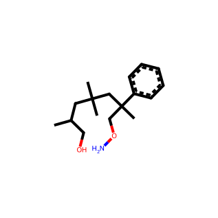 CC(CO)CC(C)(C)CC(C)(CON)c1ccccc1